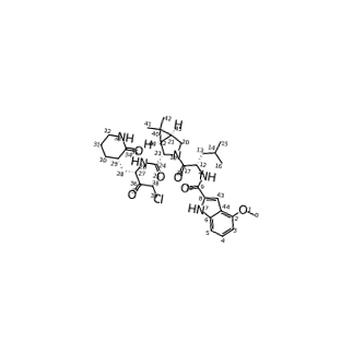 COc1cccc2[nH]c(C(=O)N[C@@H](CC(C)C)C(=O)N3C[C@H]4[C@@H]([C@H]3C(=O)N[C@@H](C[C@@H]3CCCNC3=O)C(=O)CCl)C4(C)C)cc12